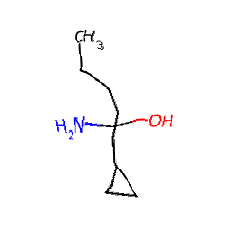 CCCC(N)(O)C1CC1